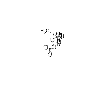 C=CCCC[SiH](C)C(c1ccccc1)(c1ccccc1)n1ccnc1.c1ccc(B(c2ccccc2)c2ccccc2)cc1